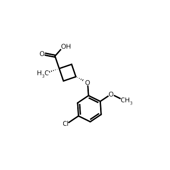 COc1ccc(Cl)cc1O[C@H]1C[C@](C)(C(=O)O)C1